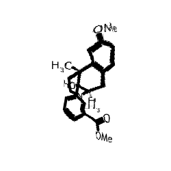 COC(=O)c1cccc(C2(O)[C@H]3Cc4ccc(OC)cc4[C@@]2(C)CCN3C)c1